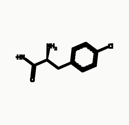 [NH]C(=O)[C@@H](N)Cc1ccc(Cl)cc1